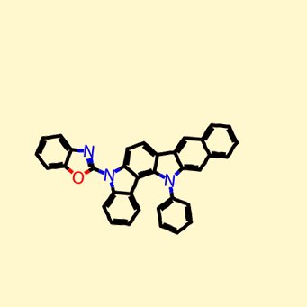 c1ccc(-n2c3cc4ccccc4cc3c3ccc4c(c5ccccc5n4-c4nc5ccccc5o4)c32)cc1